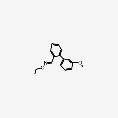 CCO/N=C/c1ccccc1-c1cccc(OC)c1